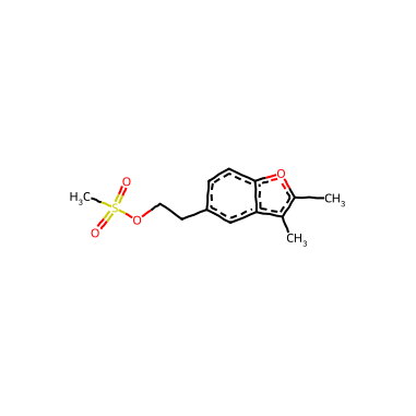 Cc1oc2ccc(CCOS(C)(=O)=O)cc2c1C